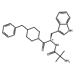 CC(C)(N)C(=O)N[C@H](Cc1c[nH]c2ccccc12)C(=O)N1CCC(Cc2ccccc2)CC1